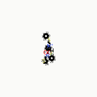 O=C(O[C@H]1C[N+]2(CCSc3ccccc3)CCC1CC2)N(Cc1cccs1)c1ccccc1F